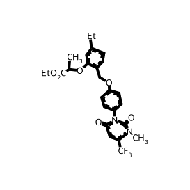 CCOC(=O)C(C)Oc1cc(CC)ccc1COc1ccc(-n2c(=O)cc(C(F)(F)F)n(C)c2=O)cc1